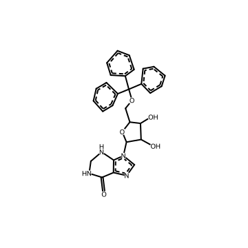 O=C1NCNc2c1ncn2C1OC(COC(c2ccccc2)(c2ccccc2)c2ccccc2)C(O)C1O